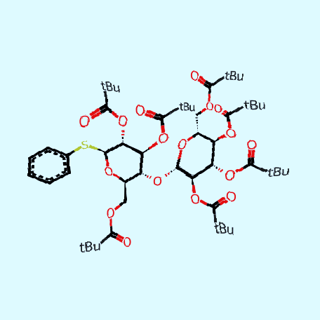 CC(C)(C)C(=O)OC[C@H]1O[C@@H](Sc2ccccc2)[C@H](OC(=O)C(C)(C)C)[C@@H](OC(=O)C(C)(C)C)[C@@H]1O[C@@H]1O[C@H](COC(=O)C(C)(C)C)[C@@H](OC(=O)C(C)(C)C)[C@H](OC(=O)C(C)(C)C)[C@H]1OC(=O)C(C)(C)C